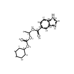 CC(OC(=O)OC1CCCCC1)OC(=O)c1ccc2[nH]cnc2c1